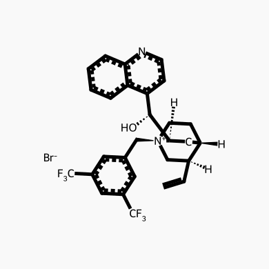 C=C[C@H]1C[N@+]2(Cc3cc(C(F)(F)F)cc(C(F)(F)F)c3)CC[C@H]1C[C@@H]2[C@H](O)c1ccnc2ccccc12.[Br-]